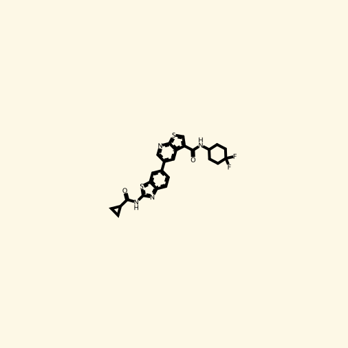 O=C(NC1CCC(F)(F)CC1)c1csc2ncc(-c3ccc4nc(NC(=O)C5CC5)sc4c3)cc12